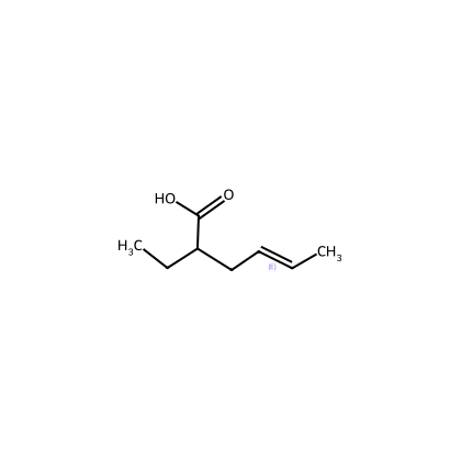 C/C=C/CC(CC)C(=O)O